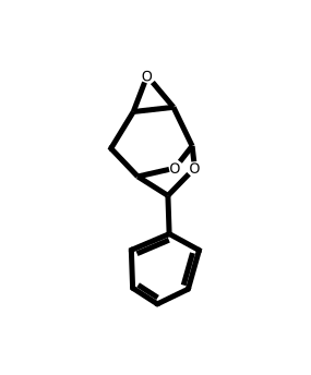 c1ccc(C2OC3OC2CC2OC23)cc1